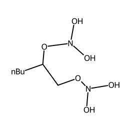 CCCCC(CON(O)O)ON(O)O